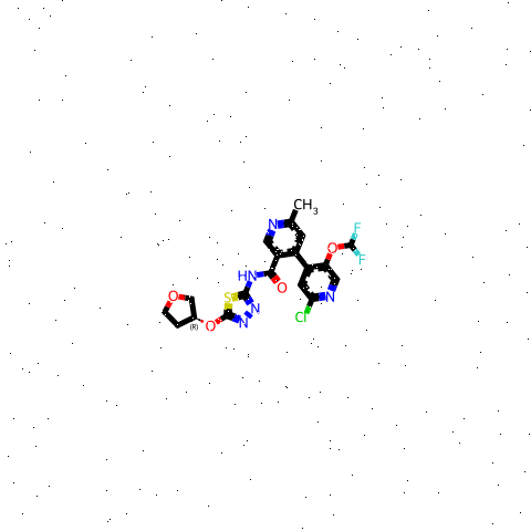 Cc1cc(-c2cc(Cl)ncc2OC(F)F)c(C(=O)Nc2nnc(O[C@@H]3CCOC3)s2)cn1